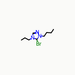 CCCCN1N=CN(CCC)C1Br